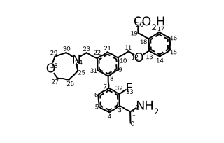 CC(N)c1cccc(-c2cc(COc3ccccc3CC(=O)O)cc(CN3CCCOCC3)c2)c1F